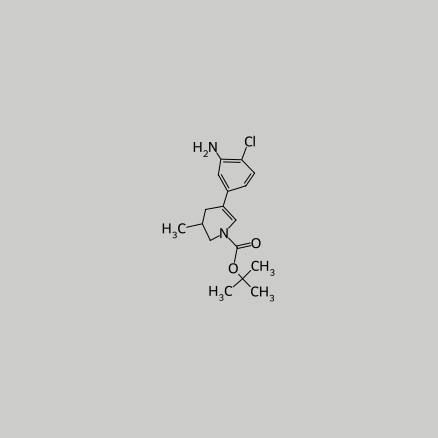 CC1CC(c2ccc(Cl)c(N)c2)=CN(C(=O)OC(C)(C)C)C1